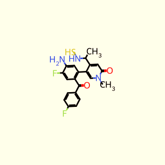 CC(NS)c1cc(=O)n(C)cc1-c1cc(N)c(F)cc1C(=O)c1ccc(F)cc1